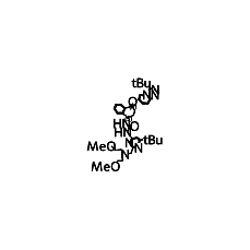 COCCN(CCOC)Cc1nc(NC(=O)N[C@H]2CC[C@@H](Oc3ccc4nnc(C(C)(C)C)n4c3)c3ccccc32)cc(C(C)(C)C)n1